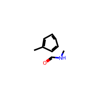 CNC=O.Cc1ccccc1